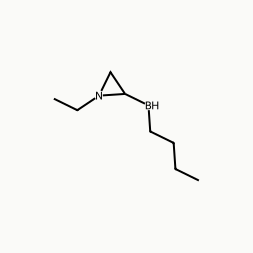 CCCCBC1CN1CC